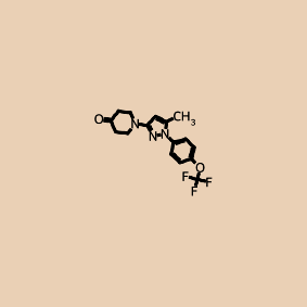 Cc1cc(N2CCC(=O)CC2)nn1-c1ccc(OC(F)(F)F)cc1